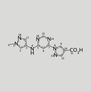 Cn1cc(Nc2cc(-n3cc(C(=O)O)cn3)ncn2)cn1